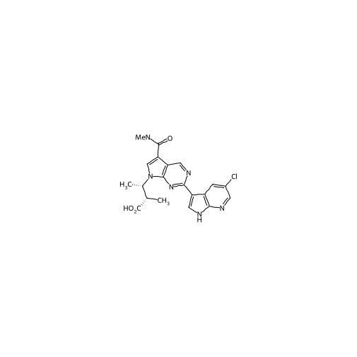 CNC(=O)c1cn([C@@H](C)[C@H](C)C(=O)O)c2nc(-c3c[nH]c4ncc(Cl)cc34)ncc12